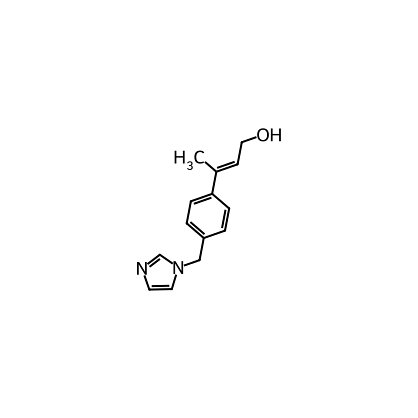 C/C(=C\CO)c1ccc(Cn2ccnc2)cc1